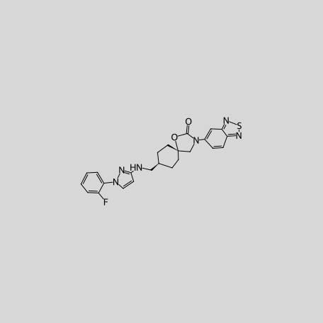 O=C1O[C@]2(CC[C@H](CNc3ccn(-c4ccccc4F)n3)CC2)CN1c1ccc2nsnc2c1